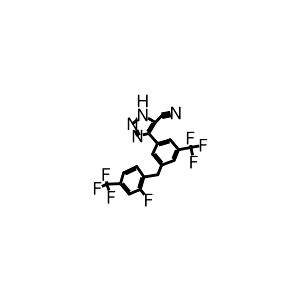 N#Cc1[nH]nnc1-c1cc(Cc2ccc(C(F)(F)F)cc2F)cc(C(F)(F)F)c1